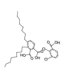 CCCCCCCCc1ccc(C(=O)O)c(C(=O)O)c1CCCCCCCC.O=C(O)c1cccc(Cl)c1Cl